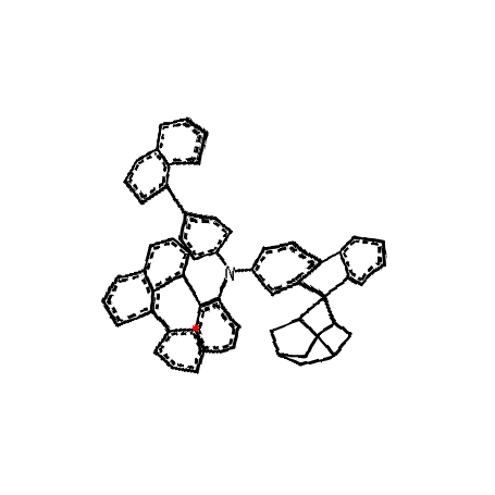 c1ccc(-c2cccc3cccc(-c4ccccc4N(c4ccc(-c5cccc6ccccc56)cc4)c4ccc5c(c4)C4(c6ccccc6-5)C5CC6CC7CC4C75C6)c23)cc1